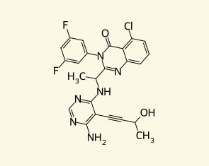 CC(O)C#Cc1c(N)ncnc1NC(C)c1nc2cccc(Cl)c2c(=O)n1-c1cc(F)cc(F)c1